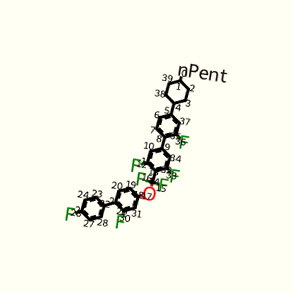 CCCCCC1CCC(c2ccc(-c3cc(F)c(C(F)(F)Oc4ccc(-c5ccc(F)cc5)c(F)c4)c(F)c3)c(F)c2)CC1